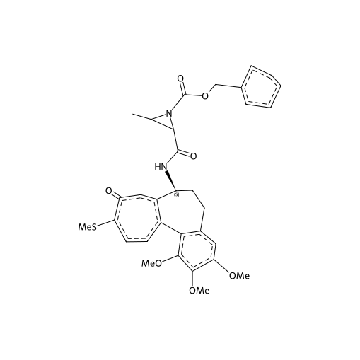 COc1cc2c(c(OC)c1OC)-c1ccc(SC)c(=O)cc1[C@@H](NC(=O)C1C(C)N1C(=O)OCc1ccccc1)CC2